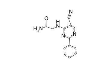 N#Cc1cnc(-c2ccccc2)nc1NCC(N)=O